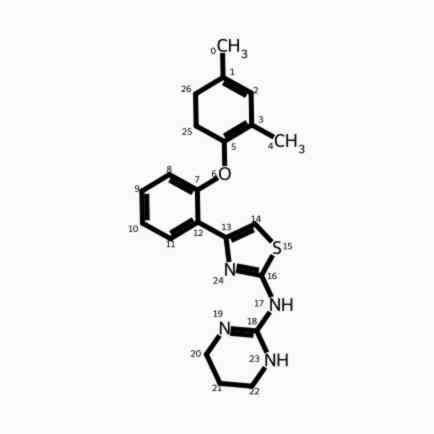 CC1=CC(C)=C(Oc2ccccc2-c2csc(NC3=NCCCN3)n2)CC1